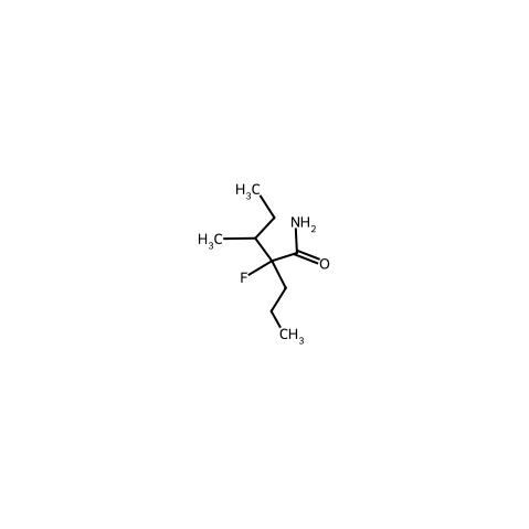 CCCC(F)(C(N)=O)C(C)CC